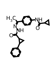 CC(=NNC(=O)C1CC1c1ccccc1)c1ccc(NC(=O)C2CC2)cc1